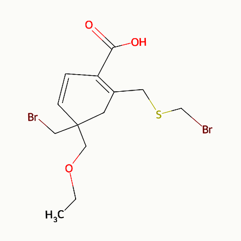 CCOCC1(CBr)C=CC(C(=O)O)=C(CSCBr)C1